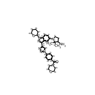 CC1(C)C(N)CCN1c1ccc2c(c1)c(-c1cn(-c3ccc(C(=O)N4CCOCC4)cc3)nn1)nn2C1CCCCO1